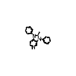 CC1N(c2ccccc2)c2ccncc2N1c1ccccc1